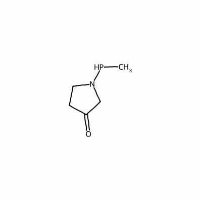 CPN1CCC(=O)C1